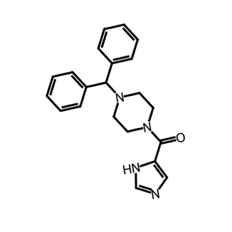 O=C(c1cnc[nH]1)N1CCN(C(c2ccccc2)c2ccccc2)CC1